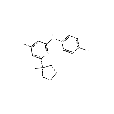 Cc1cc(Nc2ccc(O)cc2)nc(C2(Br)CCCC2)c1